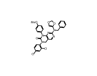 COc1ccc(N2C(=O)N(c3ccc(Cl)cc3Cl)Cc3cnc(N(Cc4ccccc4)C4=COCO4)nc32)cc1